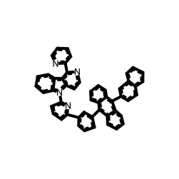 c1ccc(-c2nccc3c2c2ccccc2n3-c2cccc(-c3cccc(-c4c5ccccc5c(-c5ccc6ccccc6c5)c5ccccc45)c3)n2)nc1